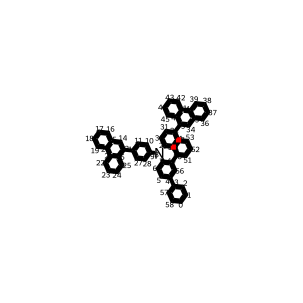 c1ccc(-c2ccc(N(c3ccc(-c4cc5ccccc5c5ccccc45)cc3)c3ccc(-c4cc5ccccc5c5ccccc45)cc3)c(-c3ccccc3)c2)cc1